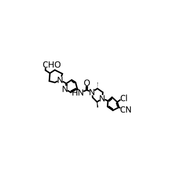 C[C@@H]1CN(c2ccc(C#N)c(Cl)c2)[C@@H](C)CN1C(=O)Nc1ccc(N2CCC(CC=O)CC2)nc1